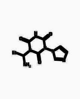 CCC(N)n1c(=O)[nH]c(=O)n(-n2ccnc2)c1=O